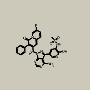 C[C@@H](c1cc2ccc(F)cn2c(=O)c1-c1ccccc1)n1nc(-c2cnc(O)c(NS(C)(=O)=O)c2)c2c(N)ncnc21